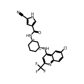 N#Cc1cc(C(=O)N[C@@H]2CCC[C@H](Nc3cc(C(F)(F)F)nc4ccc(Cl)cc34)C2)c[nH]1